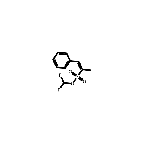 CC(=Cc1ccccc1)S(=O)(=O)OC(F)F